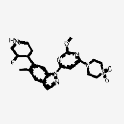 COc1nc(N2CCS(=O)(=O)CC2)cc(-n2ncc3cc(C)c(C4CCNCC4F)cc32)n1